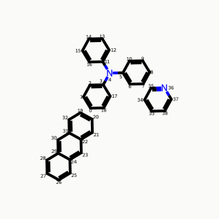 c1ccc(N(c2ccccc2)c2ccccc2)cc1.c1ccc2cc3ccccc3cc2c1.c1ccncc1